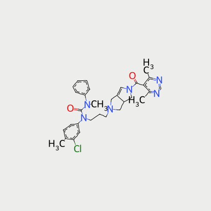 Cc1ccc(N(CCCN2CC3=CN(C(=O)c4c(C)ncnc4C)CC3C2)C(=O)N(C)c2ccccc2)cc1Cl